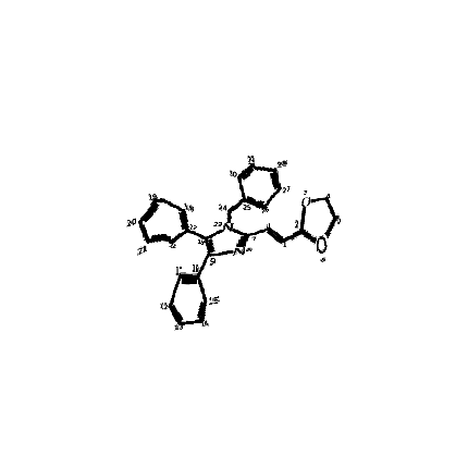 C(=CC1OCCO1)c1nc(-c2ccccc2)c(-c2ccccc2)n1Cc1ccccc1